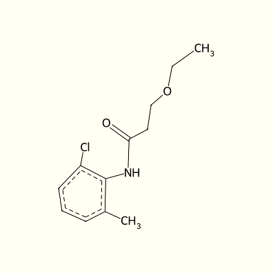 CCOCCC(=O)Nc1c(C)cccc1Cl